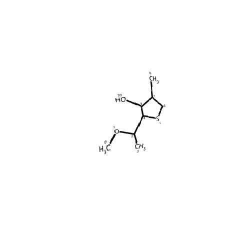 COC(C)C1SCC(C)C1O